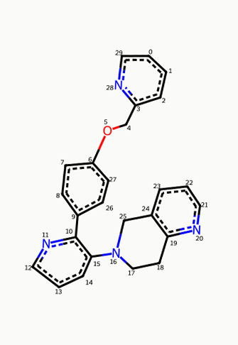 c1ccc(COc2ccc(-c3ncccc3N3CCc4ncccc4C3)cc2)nc1